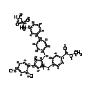 COC(=O)c1ccc(Cn2cc(-c3ccc(Cl)cc3Cl)nc2Cc2ccc(-c3cccc(NS(C)(=O)=O)c3)cc2)cc1